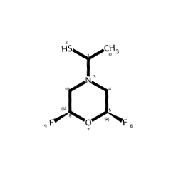 CC(S)N1C[C@@H](F)O[C@@H](F)C1